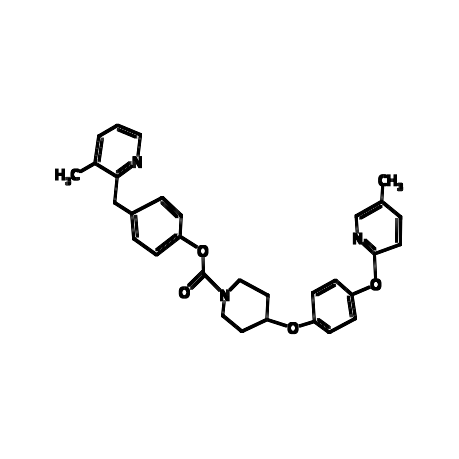 Cc1ccc(Oc2ccc(OC3CCN(C(=O)Oc4ccc(Cc5ncccc5C)cc4)CC3)cc2)nc1